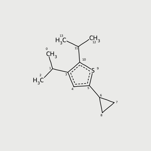 CC(C)c1cc(C2CC2)sc1C(C)C